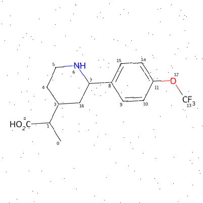 CC(C(=O)O)C1CCNC(c2ccc(OC(F)(F)F)cc2)C1